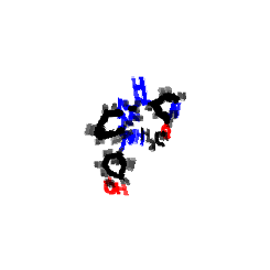 COc1cc(Nc2nc3cccc(N[C@H]4CC[C@@H](O)CC4)n3n2)ccn1